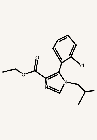 CCOC(=O)c1ncn(CC(C)C)c1-c1ccccc1Cl